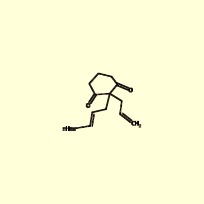 C=CCC1(C/C=C/CCCCCC)C(=O)CCCC1=O